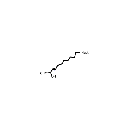 CCCCCCCCCCCCCC/C=C/C(O)C=O